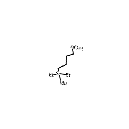 CCCCCCCCCCCC[Si](CC)(CC)C(C)(C)C